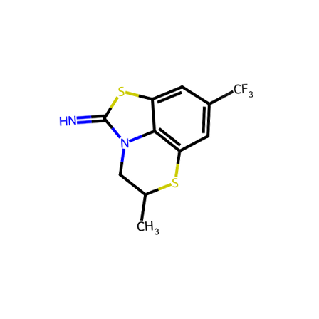 CC1Cn2c(=N)sc3cc(C(F)(F)F)cc(c32)S1